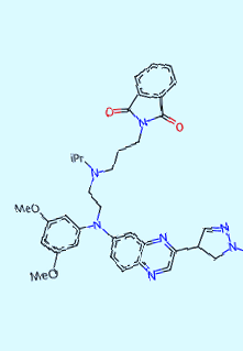 COc1cc(OC)cc(N(CCN(CCCN2C(=O)c3ccccc3C2=O)C(C)C)c2ccc3ncc(C4C=NN(C)C4)nc3c2)c1